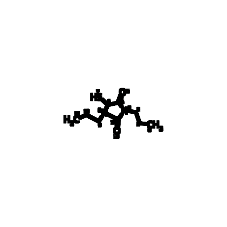 CCCN1C(=O)C(S)N(CCC)C1=O